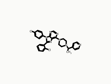 CC(c1ccncc1)N1CCN(c2ncnc3c2nc(-c2ccccc2Cl)n3-c2ccc(Cl)cc2)CC1